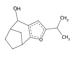 CC(C)c1cc2c(o1)C1CCC(C1)C2O